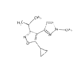 CC(C)c1noc(C2CC2)c1-c1ccn(C)n1